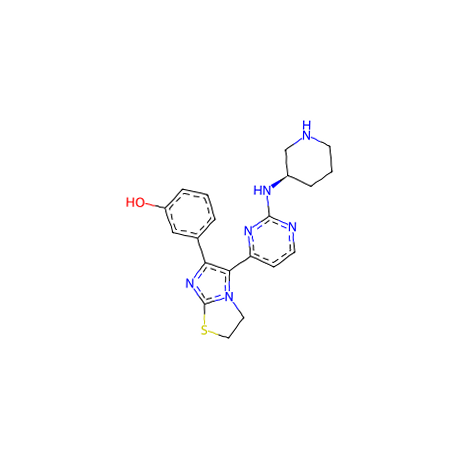 Oc1cccc(-c2nc3n(c2-c2ccnc(N[C@@H]4CCCNC4)n2)CCS3)c1